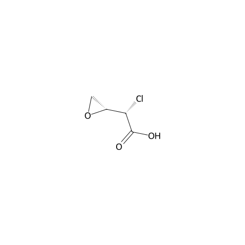 O=C(O)[C@@H](Cl)[C@H]1CO1